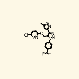 Cc1cc(-c2nnn(-c3ccc(C(F)F)cc3)c2COc2ccc(Cl)nn2)no1